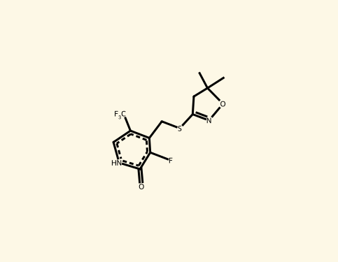 CC1(C)CC(SCc2c(C(F)(F)F)c[nH]c(=O)c2F)=NO1